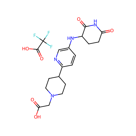 O=C(O)C(F)(F)F.O=C(O)CN1CCC(c2ccc(NC3CCC(=O)NC3=O)cn2)CC1